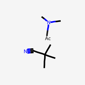 CC(=O)N(C)C.CC(C)(C)C#N